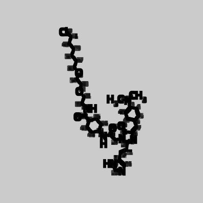 CN(C)c1ccc(/C=C2N=C(/C=C/c3cnc[nH]3)N(CC(=O)NC3CCC(C(=O)NCCOCCOCCCCCCCl)CC3)C/2=O)cc1